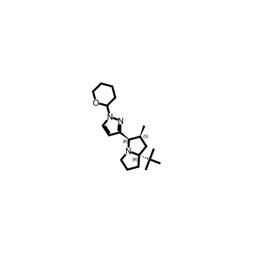 C[C@H]1C[C@@]2(C(C)(C)C)CCCN2[C@H]1c1ccn(C2CCCCO2)n1